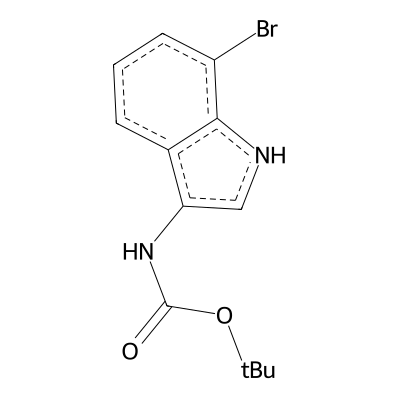 CC(C)(C)OC(=O)Nc1c[nH]c2c(Br)cccc12